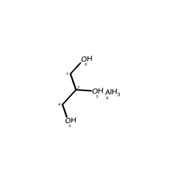 OCC(O)CO.[AlH3]